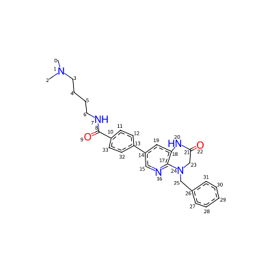 CN(C)CCCCNC(=O)c1ccc(-c2cnc3c(c2)NC(=O)CN3Cc2ccccc2)cc1